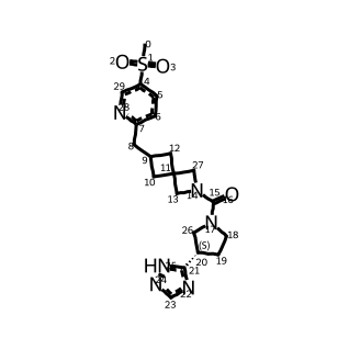 CS(=O)(=O)c1ccc(CC2CC3(C2)CN(C(=O)N2CC[C@H](c4ncn[nH]4)C2)C3)nc1